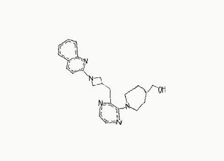 OCC1CCN(c2nccnc2CC2CN(c3ccc4ccccc4n3)C2)CC1